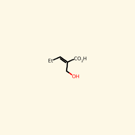 CCC=C(CO)C(=O)O